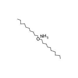 CCCCCCCCCCOCCCCCCCCCC.N